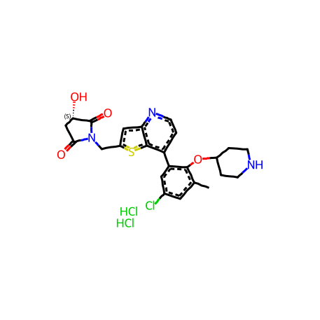 Cc1cc(Cl)cc(-c2ccnc3cc(CN4C(=O)C[C@H](O)C4=O)sc23)c1OC1CCNCC1.Cl.Cl